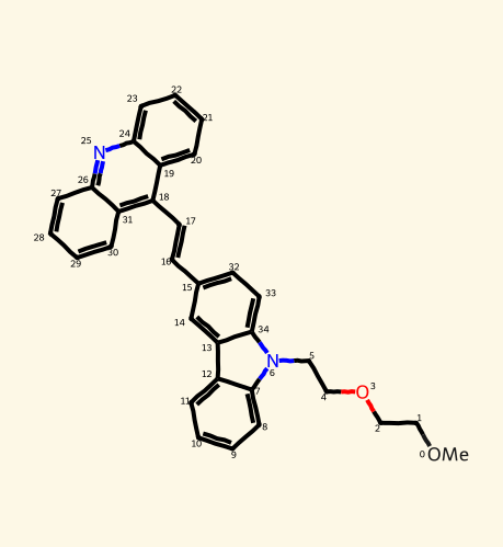 COCCOCCn1c2ccccc2c2cc(C=Cc3c4ccccc4nc4ccccc34)ccc21